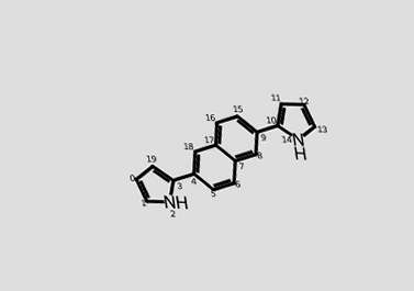 c1c[nH]c(-c2ccc3cc(-c4ccc[nH]4)ccc3c2)c1